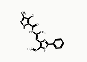 C=Nc1[nH]c(-c2ccccc2)nc1/C=C(\C)NC(=O)c1[nH]nc(C)c1Cl